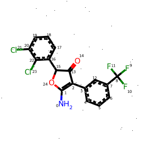 NC1=C(c2cccc(C(F)(F)F)c2)C(=O)C(c2cccc(Cl)c2Cl)O1